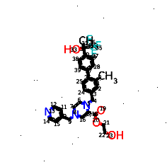 Cc1cc(CN2CCN(Cc3ccncc3)C[C@H]2C(=O)OCCO)ccc1-c1ccc(C(C)(O)C(F)(F)F)cc1